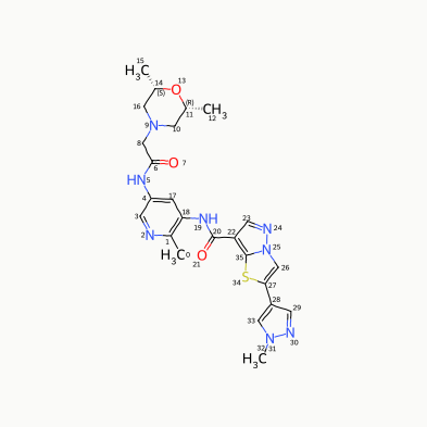 Cc1ncc(NC(=O)CN2C[C@@H](C)O[C@@H](C)C2)cc1NC(=O)c1cnn2cc(-c3cnn(C)c3)sc12